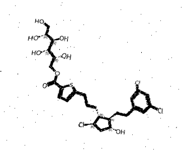 O=C(OC[C@@H](O)[C@H](O)[C@H](O)[C@H](O)CO)c1ccc(CCC[C@@H]2[C@@H](CCc3cc(Cl)cc(Cl)c3)[C@H](O)C[C@H]2Cl)s1